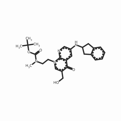 CN(CCn1cc(CO)c(=O)c2cc(NC3Cc4ccccc4C3)cnc21)C(=O)OC(C)(C)C